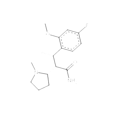 COc1cc(F)ccc1[C@@H](C)C(C(N)=O)[C@@H]1CCCN1C